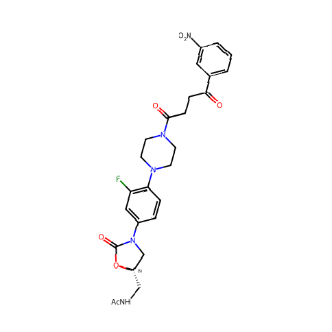 CC(=O)NC[C@H]1CN(c2ccc(N3CCN(C(=O)CCC(=O)c4cccc([N+](=O)[O-])c4)CC3)c(F)c2)C(=O)O1